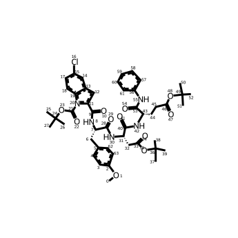 COc1ccc(C[C@H](NC(=O)c2cc3cc(Cl)ccc3n2C(=O)OC(C)(C)C)C(=O)N[C@@H](CC(=O)OC(C)(C)C)C(=O)N[C@@H](CCC(=O)OC(C)(C)C)C(=O)Nc2ccccc2)cc1